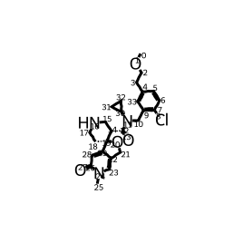 COCCc1ccc(Cl)c(CN(C(=O)[C@H]2CNCC[C@@]23OCc2cn(C)c(=O)cc23)C2CC2)c1